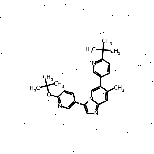 Cc1cc2ncc(-c3ccc(OC(C)(C)C)nc3)n2cc1-c1ccc(C(C)(C)C)nc1